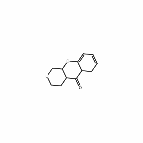 O=C1C2CC=CC=C2OC2COCCC12